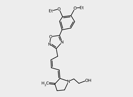 C=C1CCN(CCO)/C1=C/C=C\Cc1noc(-c2ccc(OCC)c(OCC)c2)n1